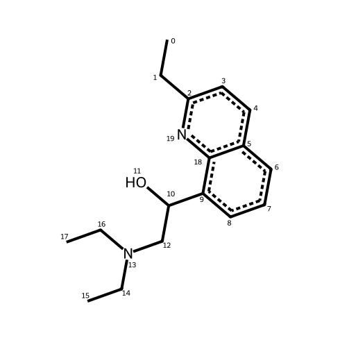 CCc1ccc2cccc(C(O)CN(CC)CC)c2n1